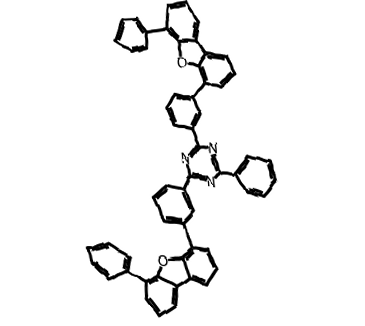 c1ccc(-c2nc(-c3cccc(-c4cccc5c4oc4c(-c6ccccc6)cccc45)c3)nc(-c3cccc(-c4cccc5c4oc4c(-c6ccccc6)cccc45)c3)n2)cc1